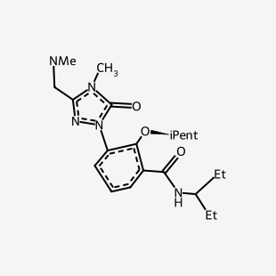 CCC[C@H](C)Oc1c(C(=O)NC(CC)CC)cccc1-n1nc(CNC)n(C)c1=O